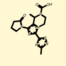 Cc1nsc(-c2nc(N3CCCC3=O)c3n2CCN(C(=O)O)C3C)n1